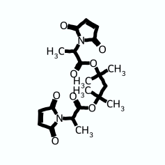 CC(C(=O)OC(C)(C)CC(C)(C)OC(=O)C(C)N1C(=O)C=CC1=O)N1C(=O)C=CC1=O